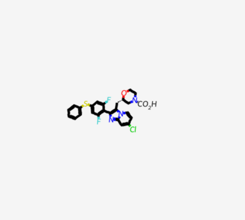 O=C(O)N1CCO[C@@H](Cc2c(-c3c(F)cc(Sc4ccccc4)cc3F)nc3cc(Cl)ccn23)C1